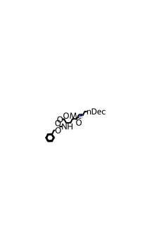 CCCCCCCCCCC/C=C/C(=O)CCC(NC(=O)OCc1ccccc1)C(=O)OC